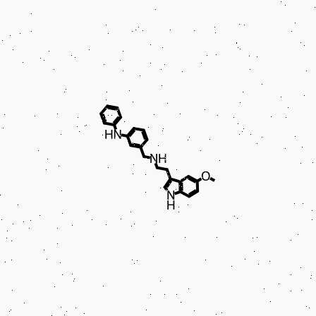 COc1ccc2[nH]cc(CCNCc3cccc(Nc4ccccc4)c3)c2c1